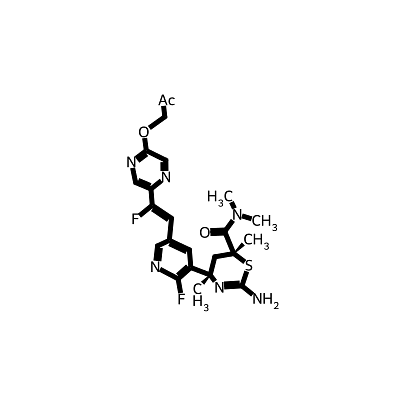 CC(=O)COc1cnc(/C(F)=C/c2cnc(F)c([C@]3(C)C[C@](C)(C(=O)N(C)C)SC(N)=N3)c2)cn1